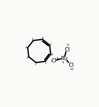 C1=CCCCCC=C1.[Cl][Ru]([Cl])[Cl]